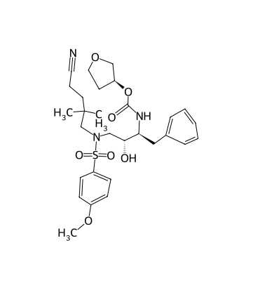 COc1ccc(S(=O)(=O)N(C[C@@H](O)[C@H](Cc2ccccc2)NC(=O)O[C@H]2CCOC2)CC(C)(C)CCC#N)cc1